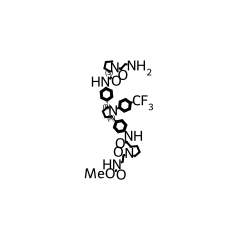 COC(=O)NCC(=O)N1CCCC1C(=O)Nc1ccc([C@H]2CC[C@H](c3ccc(NC(=O)[C@@H]4CCCN4C(=O)CN)cc3)N2c2ccc(C(F)(F)F)cc2)cc1